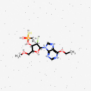 CCOc1ncnc2c1ncn2C1OC(COC)[C@@H](OP(C)(=O)S)[C@H]1F